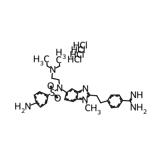 CCN(CC)CCN(c1ccc2c(c1)nc(CCc1ccc(C(=N)N)cc1)n2C)S(=O)(=O)c1ccc(N)cc1.Cl.Cl.Cl.Cl